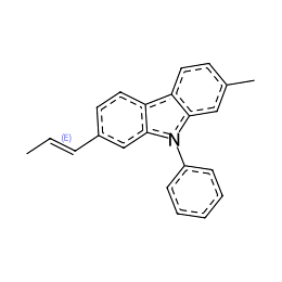 C/C=C/c1ccc2c3ccc(C)cc3n(-c3ccccc3)c2c1